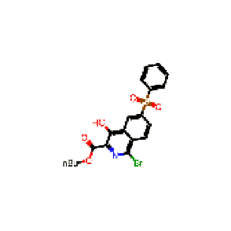 CCCCOC(=O)c1nc(Br)c2ccc(S(=O)(=O)c3ccccc3)cc2c1O